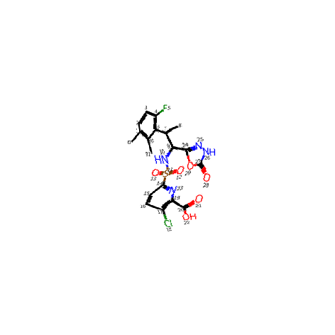 Cc1ccc(F)c(C(C)C(NS(=O)(=O)c2ccc(Cl)c(C(=O)O)n2)c2n[nH]c(=O)o2)c1C